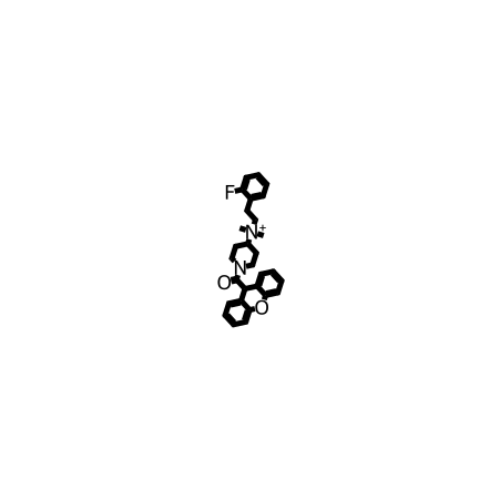 C[N+](C)(CCc1ccccc1F)C1CCN(C(=O)C2c3ccccc3Oc3ccccc32)CC1